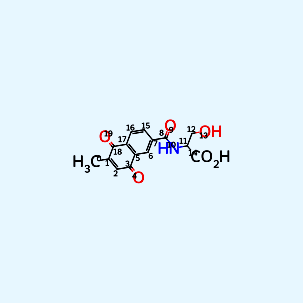 CC1=CC(=O)c2cc(C(=O)NC(CO)C(=O)O)ccc2C1=O